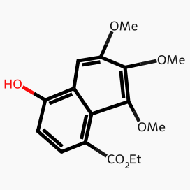 CCOC(=O)c1ccc(O)c2cc(OC)c(OC)c(OC)c12